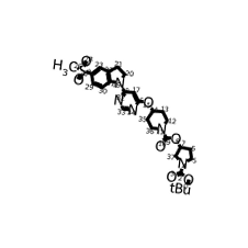 CC(C)(C)OC(=O)N1CCC(OC(=O)N2CCC(Oc3cc(N4CCc5cc(S(C)(=O)=O)ccc54)ncn3)CC2)C1